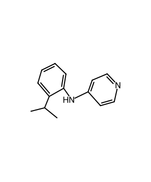 CC(C)c1ccccc1Nc1ccncc1